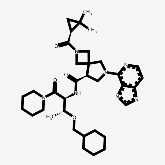 C[C@@H](OCC1CCCCC1)[C@H](NC(=O)[C@@H]1CN(c2nccc3scnc23)CC12CN(C(=O)[C@H]1CC1(C)C)C2)C(=O)N1CCCCC1